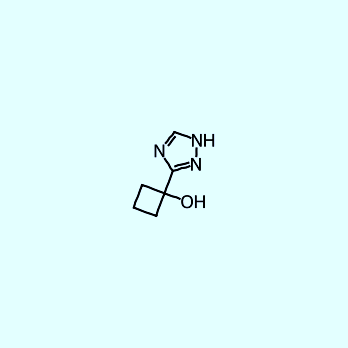 OC1(c2nc[nH]n2)CCC1